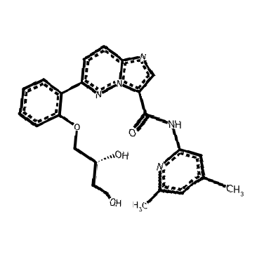 Cc1cc(C)nc(NC(=O)c2cnc3ccc(-c4ccccc4OC[C@H](O)CO)nn23)c1